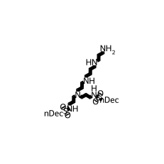 CCCCCCCCCCS(=O)(=O)NCCCN(CCCNCCCCNCCCN)CCCNS(=O)(=O)CCCCCCCCCC